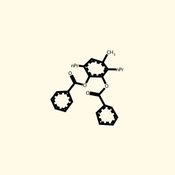 CCCc1cc(C)c(CCC)c(OC(=O)c2ccccc2)c1OC(=O)c1ccccc1